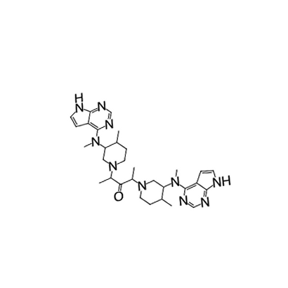 CC1CCN(C(C)C(=O)C(C)N2CCC(C)C(N(C)c3ncnc4[nH]ccc34)C2)CC1N(C)c1ncnc2[nH]ccc12